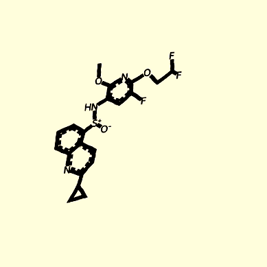 COc1nc(OCC(F)F)c(F)cc1N[S+]([O-])c1cccc2nc(C3CC3)ccc12